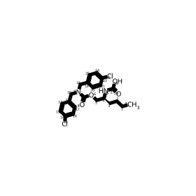 CCCC[C@@H](COC(=O)N(Cc1ccc(Cl)cc1)Cc1ccc(Cl)cc1)NC(=O)O